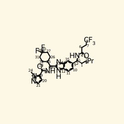 CC(C)C[C@H](NC(=O)CCC(F)(F)F)c1ccc2[nH]c([C@@H](NC(=O)c3ccnn3C)C3CCC(F)(F)CC3)nc2c1